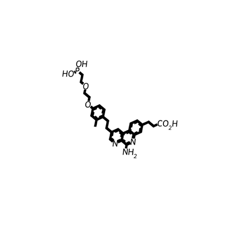 Cc1cc(OCCOCCP(O)O)ccc1CCc1cnc2c(N)nc3cc(CCC(=O)O)ccc3c2c1